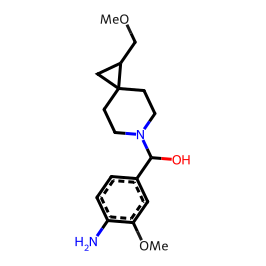 COCC1CC12CCN(C(O)c1ccc(N)c(OC)c1)CC2